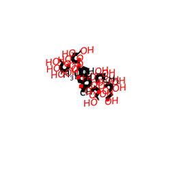 CC1C[C@@]23CC[C@H]4[C@@](C)(CCC[C@@]4(C)C(=O)O[C@@H]4O[C@H](CO)[C@@H](O)[C@H](O)[C@H]4O[C@@H]4O[C@H](CO)[C@@H](O)[C@H](O)[C@H]4O)[C@@H]2CC[C@]1(O[C@@H]1O[C@H](CO)[C@@H](O)[C@H](O[C@@H]2O[C@H](CCO)[C@@H](O)[C@H](O)[C@H]2O)[C@H]1O[C@@H]1O[C@@H](C)[C@H](O)[C@@H](O)[C@H]1O)C3